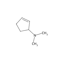 CN(C)C1C=CCC1